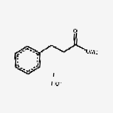 COC(=O)CCc1ccccc1.[Li+].[OH-]